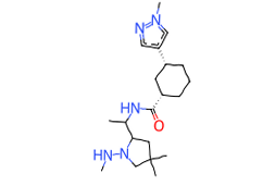 CNN1CC(C)(C)CC1C(C)NC(=O)[C@H]1CCC[C@@H](c2cnn(C)c2)C1